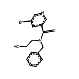 O=C(c1cncc(Br)c1)N(CCO)Cc1ccccc1